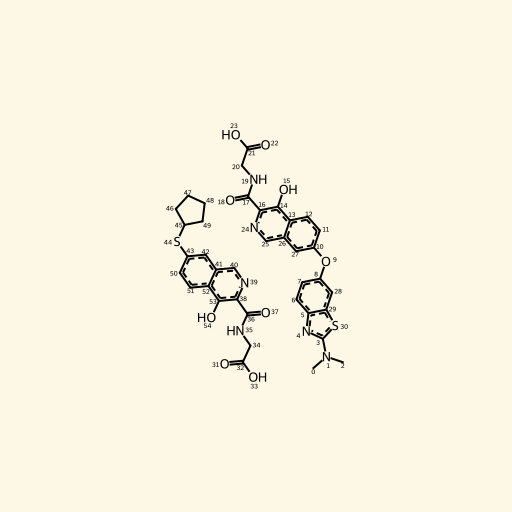 CN(C)c1nc2ccc(Oc3ccc4c(O)c(C(=O)NCC(=O)O)ncc4c3)cc2s1.O=C(O)CNC(=O)c1ncc2cc(SC3CCCC3)ccc2c1O